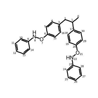 CC(Cc1ccc(ONc2ccccc2)cc1)c1ccc(ONc2ccccc2)cc1